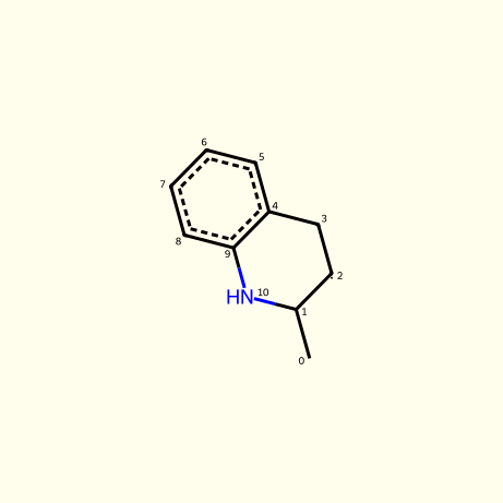 CC1[CH]Cc2ccccc2N1